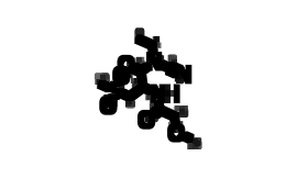 CCN(C#N)C(=O)C(CS(C)(=O)=O)NC(=O)COC